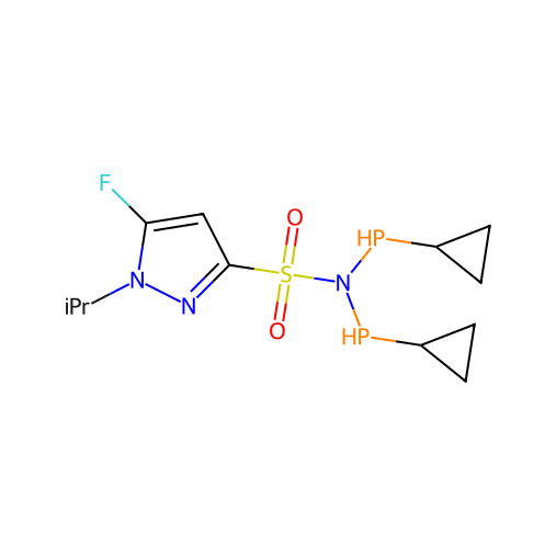 CC(C)n1nc(S(=O)(=O)N(PC2CC2)PC2CC2)cc1F